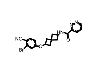 N#Cc1ccc(OC2CC3(CC(NC(=O)c4cccnn4)C3)C2)cc1Br